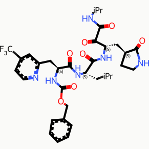 CC(C)C[C@H](NC(=O)[C@H](Cc1cc(C(F)(F)F)ccn1)NC(=O)OCc1ccccc1)C(=O)N[C@@H](C[C@@H]1CCNC1=O)C(=O)C(=O)NC(C)C